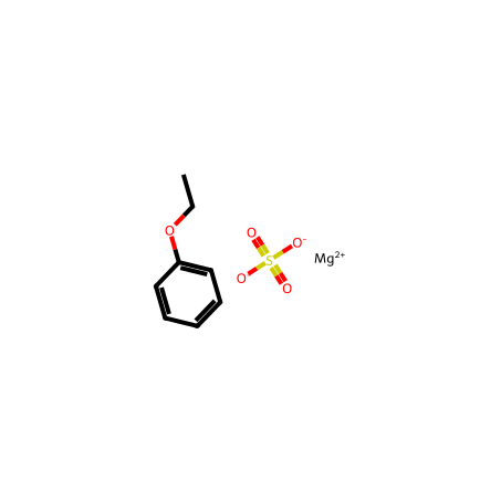 CCOc1ccccc1.O=S(=O)([O-])[O-].[Mg+2]